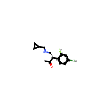 CC(=O)[C@H](CNCC1CC1)c1ccc(Cl)cc1F